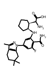 Cc1nn(-c2cc(F)c(C(N)=O)c(N[C@H]3CCCC[C@H]3C(N)C(=O)O)c2)c2c1CCC(C)(C)C2